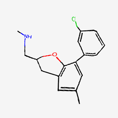 CNCC1Cc2cc(C)cc(-c3cccc(Cl)c3)c2O1